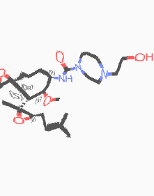 CO[C@H]1[C@H](C2(C)O[C@@H]2CC=C(C)C)[C@]2(CC[C@H]1NC(=O)N1CCN(CCO)CC1)CO2